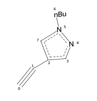 C#Cc1cnn(CCCC)c1